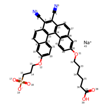 N#Cc1c(C#N)c2ccc3cc(OCCCS(=O)(=O)[O-])ccc3c2c2c1ccc1cc(OCCCCCC(=O)O)ccc12.[Na+]